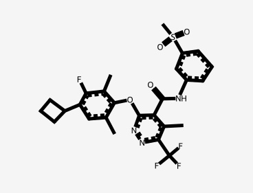 Cc1cc(C2CCC2)c(F)c(C)c1Oc1nnc(C(F)(F)F)c(C)c1C(=O)Nc1cccc(S(C)(=O)=O)c1